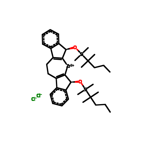 CCCC(C)(C)[Si](C)(C)O[C@@H]1[C]2=C(CCC3=[C]([Zr+2]2)[C@H](O[Si](C)(C)C(C)(C)CCC)c2ccccc23)c2ccccc21.[Cl-].[Cl-]